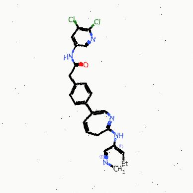 CC/C=C(\C=N/C)NC1=NC=C(c2ccc(CC(=O)Nc3cnc(Cl)c(Cl)c3)cc2)C=CC1